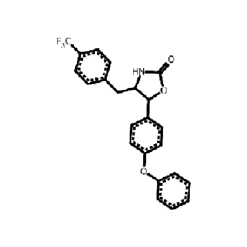 O=C1NC(Cc2ccc(C(F)(F)F)cc2)C(c2ccc(Oc3ccccc3)cc2)O1